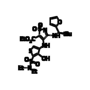 CCOC(=O)C1=C(Nc2csc(S(=O)(=O)N(CC)CC)c2O)C(N[C@@H](c2ccco2)C(C)(C)C)=NS1(=O)=O